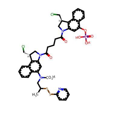 CC(CN(C(=O)O)c1cc2c(c3ccccc13)[C@H](CCl)CN2C(=O)CCCC(=O)N1C[C@@H](CCl)c2c1cc(OP(=O)(O)O)c1ccccc21)SSc1ccccn1